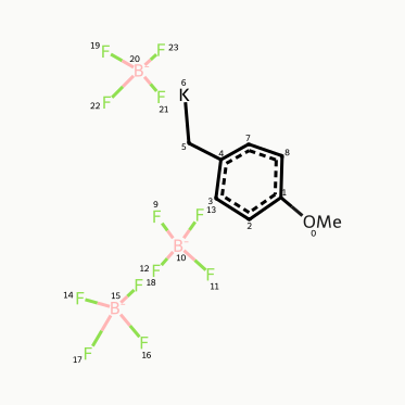 COc1ccc([CH2][K])cc1.F[B-](F)(F)F.F[B-](F)(F)F.F[B-](F)(F)F